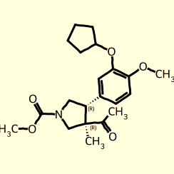 COC(=O)N1C[C@H](c2ccc(OC)c(OC3CCCC3)c2)[C@@](C)(C(C)=O)C1